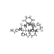 CC1C2c3ccccc3Oc3ccccc3N2CN1C.O=C(O)/C=C\C(=O)O